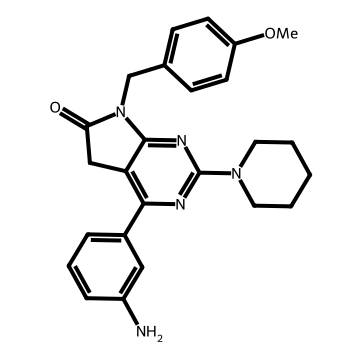 COc1ccc(CN2C(=O)Cc3c(-c4cccc(N)c4)nc(N4CCCCC4)nc32)cc1